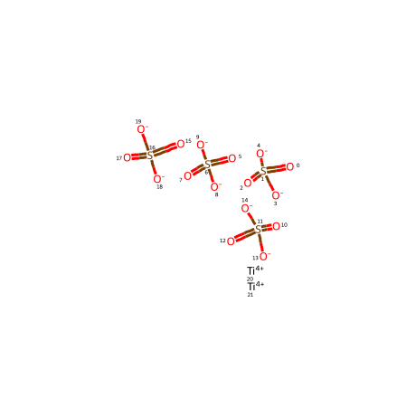 O=S(=O)([O-])[O-].O=S(=O)([O-])[O-].O=S(=O)([O-])[O-].O=S(=O)([O-])[O-].[Ti+4].[Ti+4]